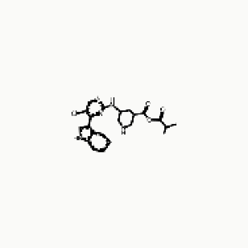 CC(C)C(=O)OC(=O)C1CNCC(Nc2ncc(Cl)c(-c3c[nH]c4ccccc34)n2)C1